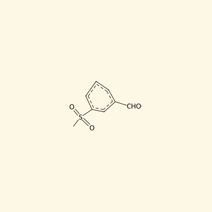 CS(=O)(=O)c1cccc([C]=O)c1